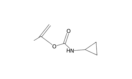 C=C(C)OC(=O)NC1CC1